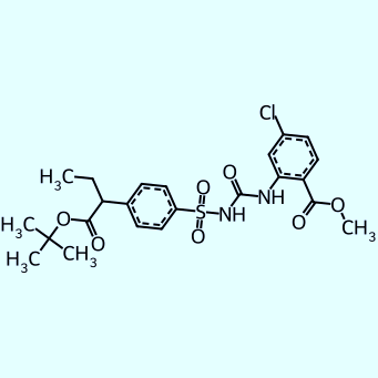 CCC(C(=O)OC(C)(C)C)c1ccc(S(=O)(=O)NC(=O)Nc2cc(Cl)ccc2C(=O)OC)cc1